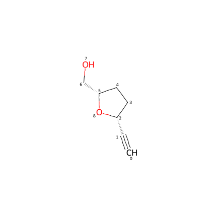 C#C[C@H]1CC[C@@H](CO)O1